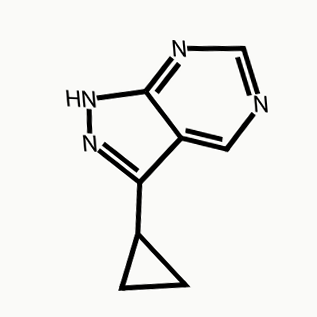 c1ncc2c(C3CC3)n[nH]c2n1